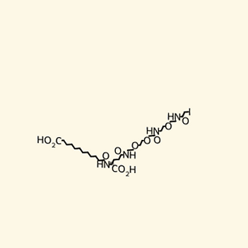 O=C(O)CCCCCCCCCCC(=O)N[C@H](CCC(=O)NCCOCCOCC(=O)NCCOCCNC(=O)CI)C(=O)O